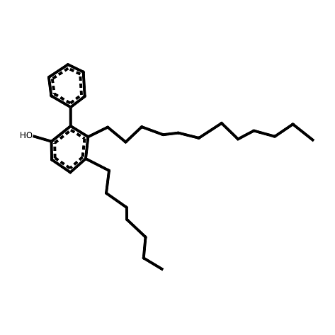 CCCCCCCCCCCCc1c(CCCCCCC)ccc(O)c1-c1ccccc1